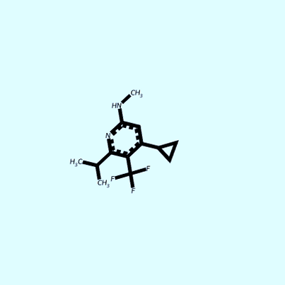 CNc1cc(C2CC2)c(C(F)(F)F)c(C(C)C)n1